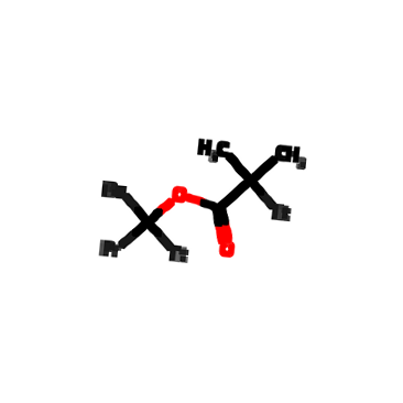 CCC(C)C(CC)(OC(=O)C(C)(C)CC)C(C)C